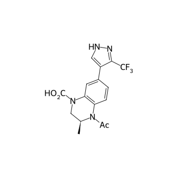 CC(=O)N1c2ccc(-c3c[nH]nc3C(F)(F)F)cc2N(C(=O)O)C[C@@H]1C